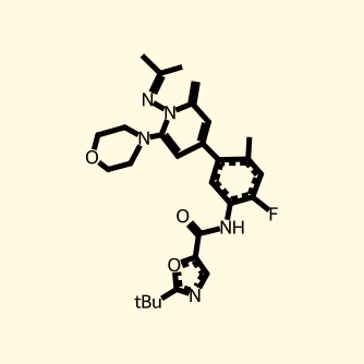 C=C1C=C(c2cc(NC(=O)c3cnc(C(C)(C)C)o3)c(F)cc2C)C=C(N2CCOCC2)N1N=C(C)C